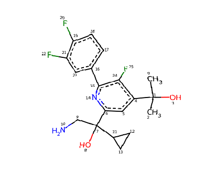 CC(C)(O)c1cc(C(O)(CN)C2CC2)nc(-c2ccc(F)c(F)c2)c1F